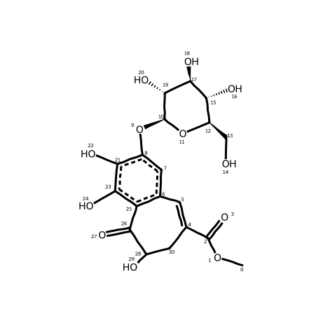 COC(=O)C1=Cc2cc(O[C@@H]3O[C@H](CO)[C@@H](O)[C@H](O)[C@H]3O)c(O)c(O)c2C(=O)C(O)C1